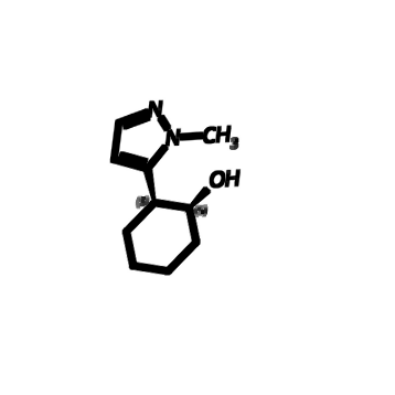 Cn1nccc1[C@@H]1CCCC[C@@H]1O